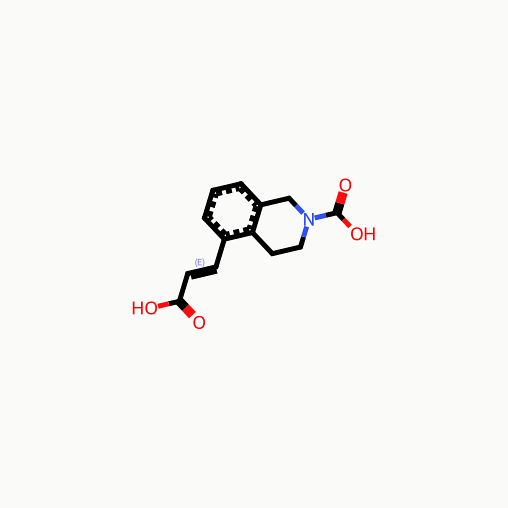 O=C(O)/C=C/c1cccc2c1CCN(C(=O)O)C2